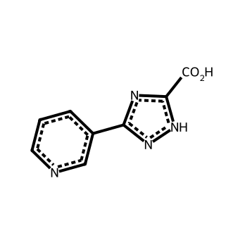 O=C(O)c1nc(-c2cccnc2)n[nH]1